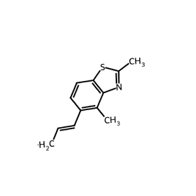 [CH2]C=Cc1ccc2sc(C)nc2c1C